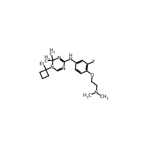 CCC1(N2C=NC(Nc3ccc(OCCN(C)C)c(F)c3)=NC2(C)C)CCC1